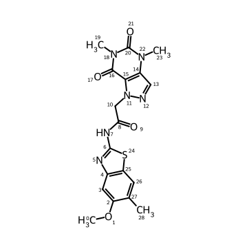 COc1cc2nc(NC(=O)Cn3ncc4c3c(=O)n(C)c(=O)n4C)sc2cc1C